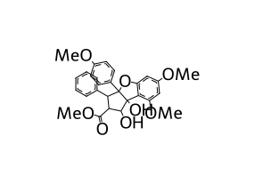 COC(=O)C1C(O)C2(O)c3c(OC)cc(OC)cc3OC2(c2ccc(OC)cc2)C1c1ccccc1